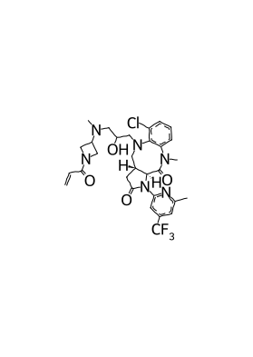 C=CC(=O)N1CC(N(C)CC(O)CN2C[C@H]3CC(=O)N(c4cc(C(F)(F)F)cc(C)n4)[C@@H]3C(=O)N(C)c3cccc(Cl)c32)C1